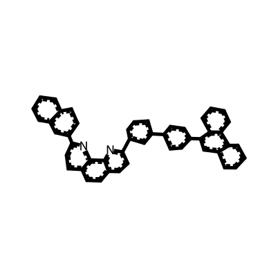 c1cc(-c2ccc(-c3cc4ccccc4c4ccccc34)cc2)cc(-c2ccc3ccc4ccc(-c5ccc6ccccc6c5)nc4c3n2)c1